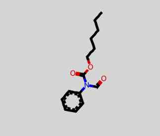 CCCCCCOC(=O)N([C]=O)c1ccccc1